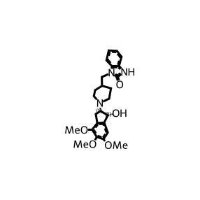 COc1cc2c(c(OC)c1OC)C[C@H](N1CCC(Cn3c(=O)[nH]c4ccccc43)CC1)[C@@H]2O